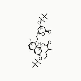 CCCC(C)C(=O)O[C@H]1C[C@H](O[Si](C)(C)C(C)(C)C)C=C2C=C[C@H](C)[C@H](CC[C@@H]3C[C@@H](O[Si](C)(C)C(C)(C)C)CC(=O)O3)[C@H]21